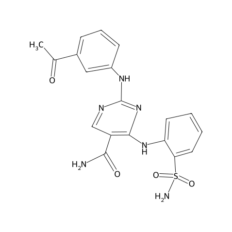 CC(=O)c1cccc(Nc2ncc(C(N)=O)c(Nc3ccccc3S(N)(=O)=O)n2)c1